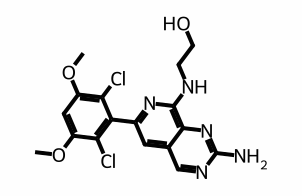 COc1cc(OC)c(Cl)c(-c2cc3cnc(N)nc3c(NCCO)n2)c1Cl